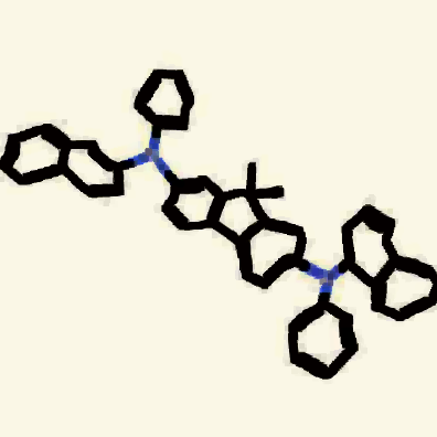 CC1(C)c2cc(N(c3ccccc3)c3ccc4ccccc4c3)ccc2-c2ccc(N(c3ccccc3)c3cccc4ccccc34)cc21